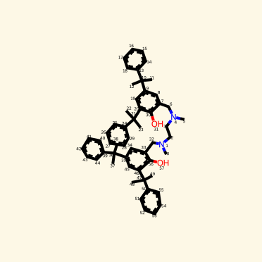 CN(CCN(C)Cc1cc(C(C)(C)c2ccccc2)cc(C(C)(C)c2ccccc2)c1O)Cc1cc(C(C)(C)c2ccccc2)cc(C(C)(C)c2ccccc2)c1O